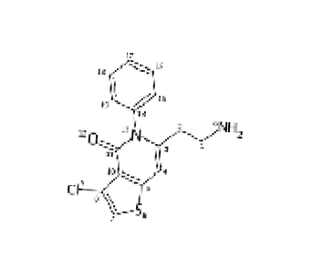 NCCc1cc2scc(Cl)c2c(=O)n1-c1ccccc1